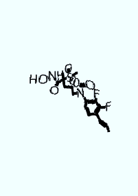 CC#Cc1ccc(N2CC(CC(C)(C(=O)NO)S(C)(=O)=O)OC2=O)c(F)c1F